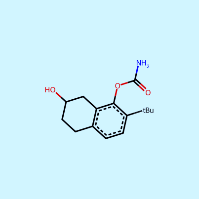 CC(C)(C)c1ccc2c(c1OC(N)=O)CC(O)CC2